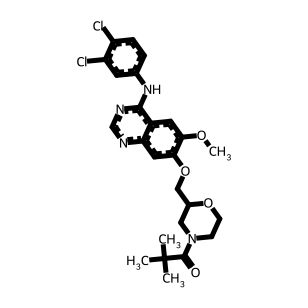 COc1cc2c(Nc3ccc(Cl)c(Cl)c3)ncnc2cc1OCC1CN(C(=O)C(C)(C)C)CCO1